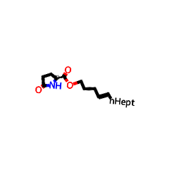 CCCCCCCC=CCCCOC(=O)[C@@H]1CCC(=O)N1